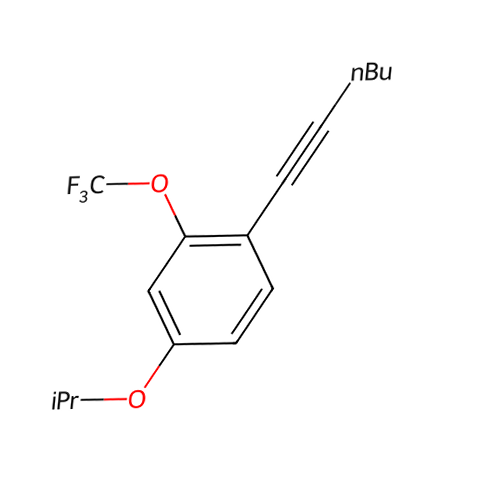 CCCCC#Cc1ccc(OC(C)C)cc1OC(F)(F)F